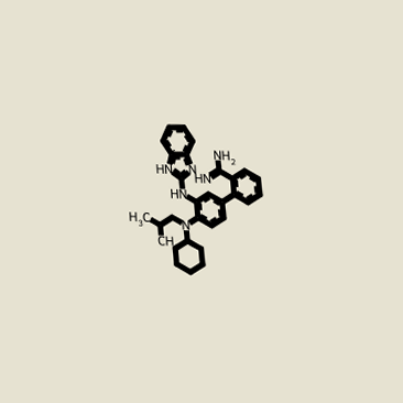 CC(C)CN(c1ccc(-c2ccccc2C(=N)N)cc1Nc1nc2ccccc2[nH]1)C1CCCCC1